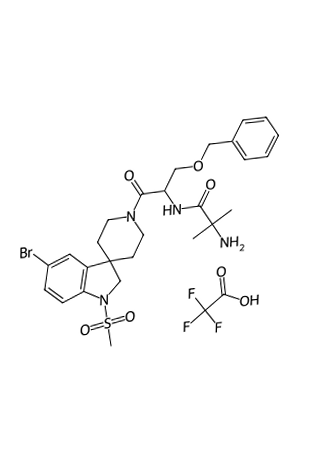 CC(C)(N)C(=O)NC(COCc1ccccc1)C(=O)N1CCC2(CC1)CN(S(C)(=O)=O)c1ccc(Br)cc12.O=C(O)C(F)(F)F